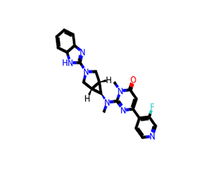 CN(c1nc(-c2ccncc2F)cc(=O)n1C)[C@H]1[C@@H]2CN(C3=NC4C=CC=CC4N3)C[C@@H]21